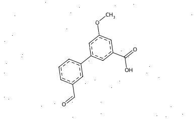 COc1cc(C(=O)O)cc(-c2cccc(C=O)c2)c1